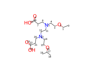 CCOCCN(CCC(=O)O)CCN(CCOC(C)C)CCC(=O)O